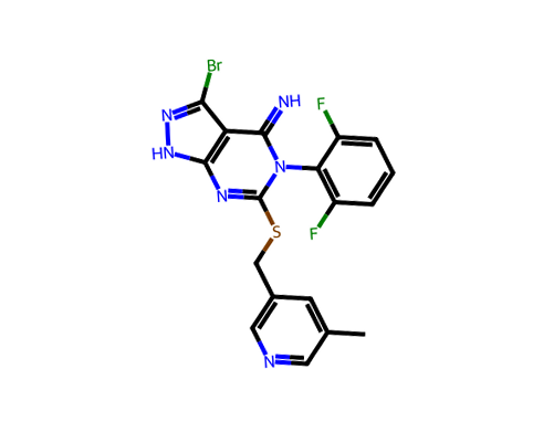 Cc1cncc(CSc2nc3[nH]nc(Br)c3c(=N)n2-c2c(F)cccc2F)c1